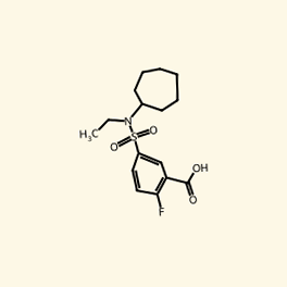 CCN(C1CCCCCC1)S(=O)(=O)c1ccc(F)c(C(=O)O)c1